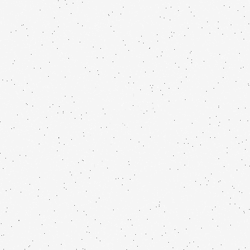 CCCC[N+](CCCC)(CCCC)CCCC.PP.[OH-]